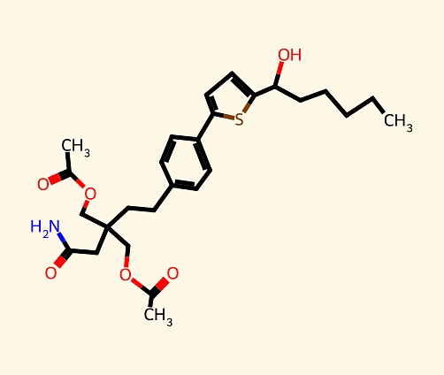 CCCCCC(O)c1ccc(-c2ccc(CCC(COC(C)=O)(COC(C)=O)CC(N)=O)cc2)s1